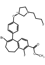 COC(=O)c1ccc2c(c1F)CCCC(Br)=C2c1ccc(O[C@H]2CCN(CCCF)C2)cc1